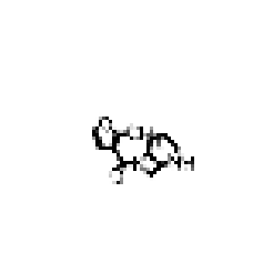 Cc1occc1C(=O)N1CC2NCCCC21